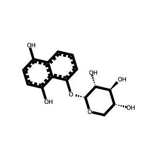 Oc1ccc(O)c2c(O[C@H]3OC[C@@H](O)[C@H](O)[C@H]3O)cccc12